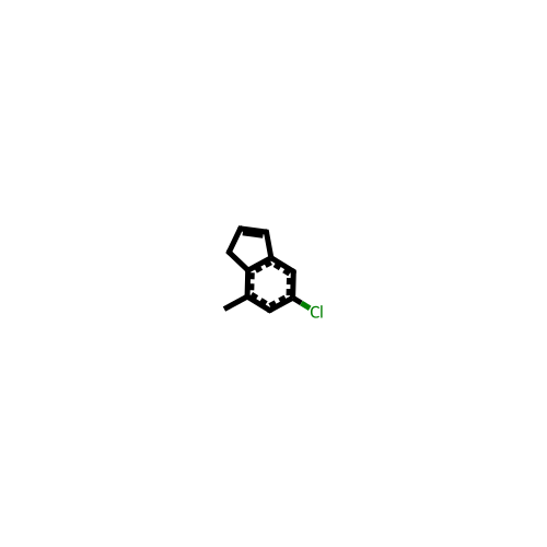 Cc1cc(Cl)cc2c1CC=C2